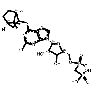 CC1(C)[C@@H]2CC[C@@]1(C)C(Nc1nc(Cl)nc3c1ncn3[C@@H]1O[C@H](COP(=O)(O)CP(=O)(O)O)C(O)[C@@H]1O)C2